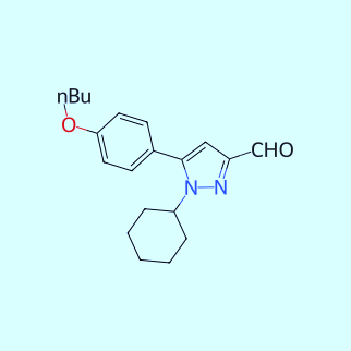 CCCCOc1ccc(-c2cc(C=O)nn2C2CCCCC2)cc1